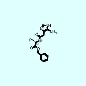 Cc1[nH]cnc1CC(=O)N[C@H](C(=O)OCc1ccccc1)C(C)C